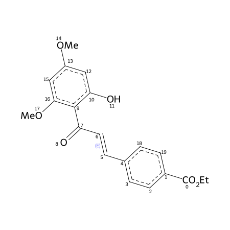 CCOC(=O)c1ccc(/C=C/C(=O)c2c(O)cc(OC)cc2OC)cc1